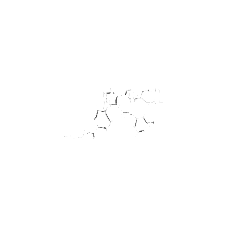 O=C(NCC(F)(F)F)c1ccc(-n2nnc(C(=O)NC(CO)CO)c2COc2cccc(F)c2)cc1